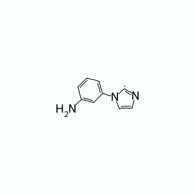 Nc1cccc(-n2[c]ncc2)c1